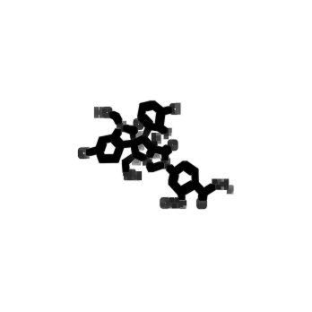 COc1cc(N2CN3[C@@H](CC(C)(C)C)[C@@]4(C(=O)N(CO)c5cc(Cl)ccc54)[C@@H](c4cccc(Cl)c4F)[C@@H]3C2=O)ccc1C(N)=O